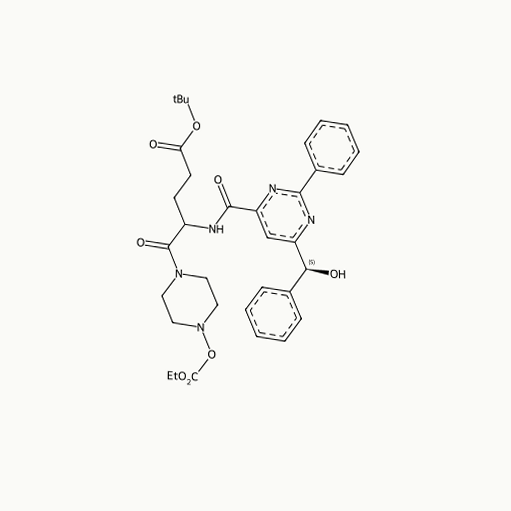 CCOC(=O)ON1CCN(C(=O)C(CCC(=O)OC(C)(C)C)NC(=O)c2cc([C@@H](O)c3ccccc3)nc(-c3ccccc3)n2)CC1